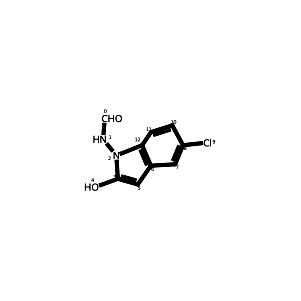 O=CNn1c(O)cc2cc(Cl)ccc21